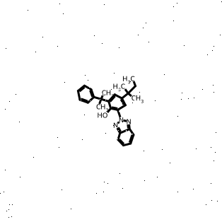 CCC(C)(C)c1cc(-n2nc3ccccc3n2)c(O)c(C(C)(C)c2ccccc2)c1